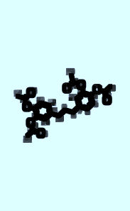 CC(=O)Oc1ccc(CCCc2ccc(OC(C)=O)c(OC(C)=O)c2)cc1OC(C)=O